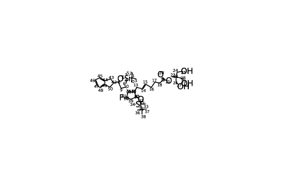 CC(C)(C)[Si](C)(C)OC(CC[C@@H]1[C@@H](CC=CCCCC(=O)OCC(CO)(CO)CO)[C@@H](O[Si](C)(C)C(C)(C)C)C[C@@H]1F)C1Cc2ccccc2C1